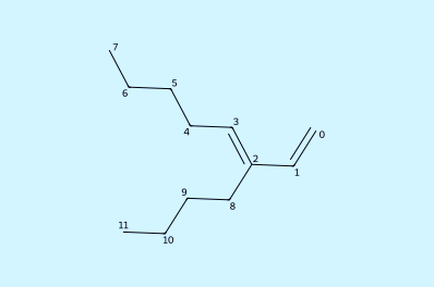 C=CC(=CCCCC)CCCC